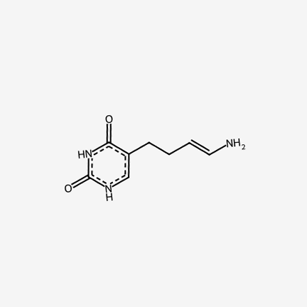 NC=CCCc1c[nH]c(=O)[nH]c1=O